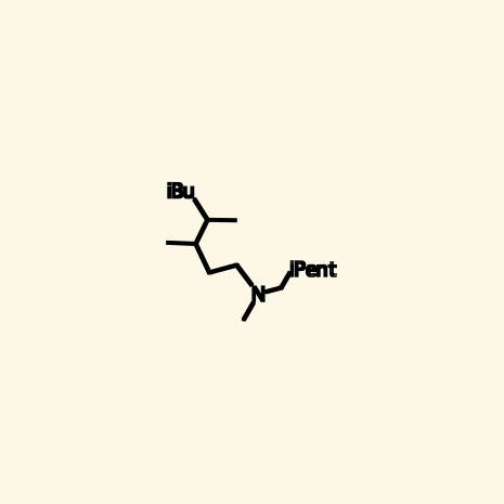 CCCC(C)CN(C)CCC(C)C(C)C(C)CC